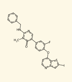 Cn1c(NCc2ccccc2)ncc(-c2ccc(Oc3ccnc4cc(I)sc34)c(F)c2)c1=O